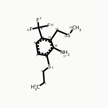 CCCSc1ccc(C(F)(F)F)c(CSC)c1N